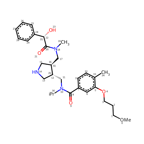 COCCCOc1cc(C(=O)N(C[C@@H]2CNC[C@H]2CN(C)C(=O)[C@@H](O)c2ccccc2)C(C)C)ccc1C